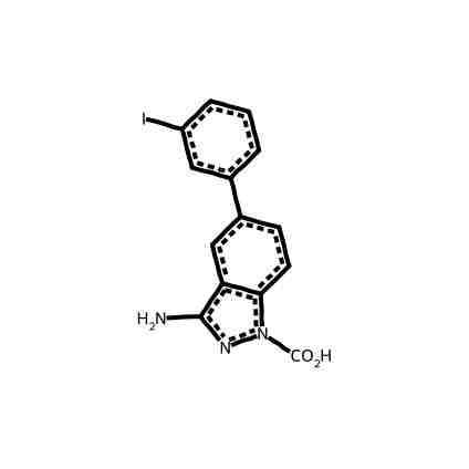 Nc1nn(C(=O)O)c2ccc(-c3cccc(I)c3)cc12